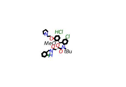 COc1c(OCCN2CCCC2)cccc1[C@@H]1O[C@@H](CC(=O)NCc2ccccc2F)C(=O)N(CC(C)(C)C)c2ccc(Cl)cc21.Cl